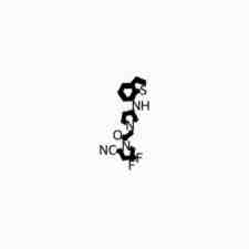 N#CC1CC(F)(F)CN1C(=O)CN1CC[C@H](Nc2cccc3ccsc23)C1